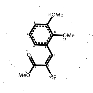 COC(=O)C(=Cc1cccc(OC)c1OC)C(C)=O